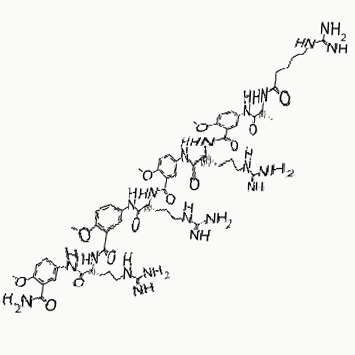 COc1ccc(NC(=O)[C@@H](CCCNC(=N)N)NC(=O)c2cc(NC(=O)[C@@H](CCCNC(=N)N)NC(=O)c3cc(NC(=O)[C@@H](CCCNC(=N)N)NC(=O)c4cc(NC(=O)[C@@H](C)NC(=O)CCCCNC(=N)N)ccc4OC)ccc3OC)ccc2OC)cc1C(N)=O